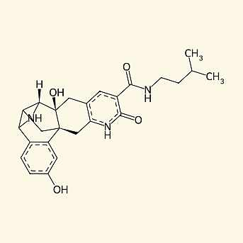 CC(C)CCNC(=O)c1cc2c([nH]c1=O)C[C@@]13CC4C(N[C@H]4[C@]1(O)C2)c1ccc(O)cc13